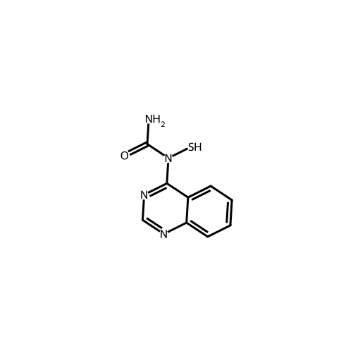 NC(=O)N(S)c1ncnc2ccccc12